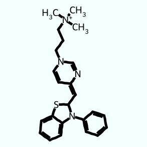 C[N+](C)(C)CCCN1C=CC(=CC2Sc3ccccc3N2c2ccccc2)N=C1